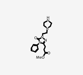 COC(=O)CCc1nn(CCN2CCNCC2)c(=O)n1-c1ccccc1